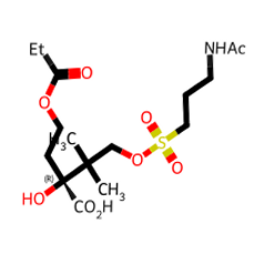 CCC(=O)OCC[C@](O)(C(=O)O)C(C)(C)COS(=O)(=O)CCCNC(C)=O